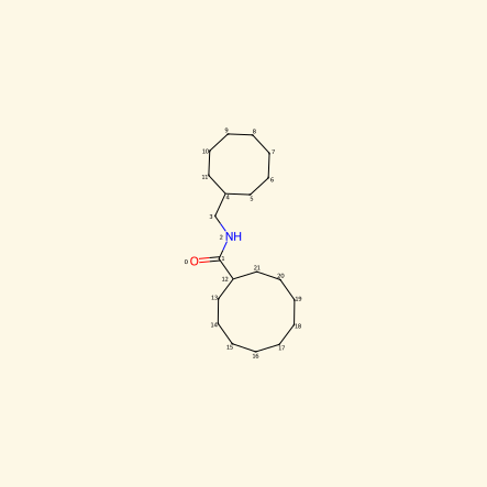 O=C(NCC1CCCCCCC1)C1CCCCCCCCC1